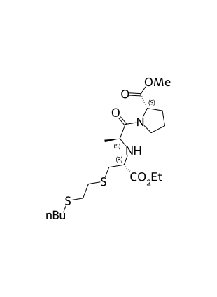 CCCCSCCSC[C@H](N[C@@H](C)C(=O)N1CCC[C@H]1C(=O)OC)C(=O)OCC